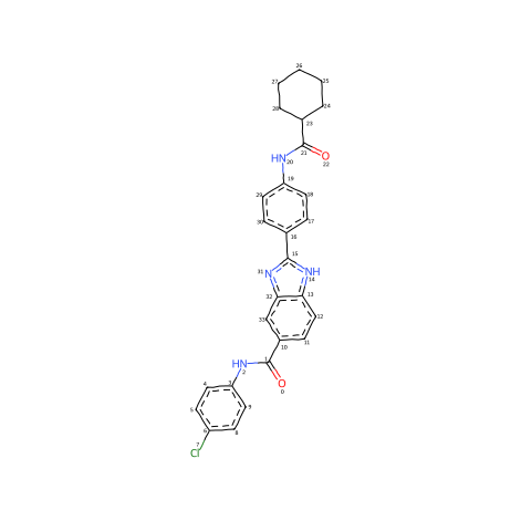 O=C(Nc1ccc(Cl)cc1)c1ccc2[nH]c(-c3ccc(NC(=O)C4CCCCC4)cc3)nc2c1